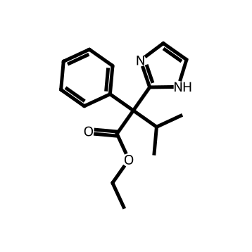 CCOC(=O)C(c1ccccc1)(c1ncc[nH]1)C(C)C